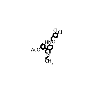 C=CCN1CCC2(c3cccc(OC(C)=O)c3)C[C@@H](NC(=O)Cc3ccc(Cl)c(Cl)c3)CCC2C1